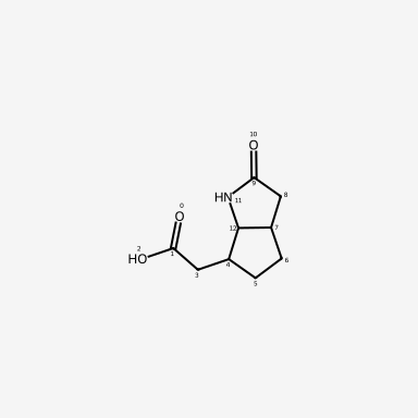 O=C(O)CC1CCC2CC(=O)NC12